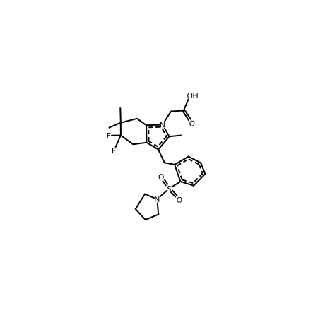 Cc1c(Cc2ccccc2S(=O)(=O)N2CCCC2)c2c(n1CC(=O)O)CC(C)(C)C(F)(F)C2